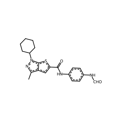 Cc1nn(C2CCCCC2)c2sc(C(=O)Nc3ccc(NC=O)cc3)cc12